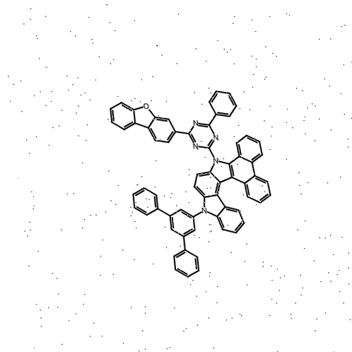 c1ccc(-c2cc(-c3ccccc3)cc(-n3c4ccccc4c4c5c6c7ccccc7c7ccccc7c6n(-c6nc(-c7ccccc7)nc(-c7ccc8c(c7)oc7ccccc78)n6)c5ccc43)c2)cc1